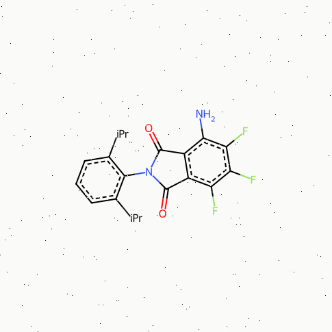 CC(C)c1cccc(C(C)C)c1N1C(=O)c2c(N)c(F)c(F)c(F)c2C1=O